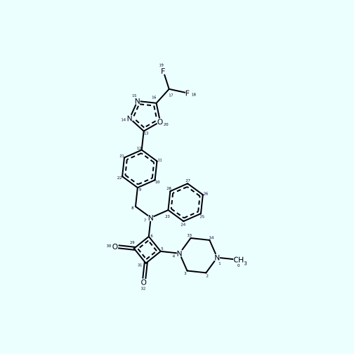 CN1CCN(c2c(N(Cc3ccc(-c4nnc(C(F)F)o4)cc3)c3ccccc3)c(=O)c2=O)CC1